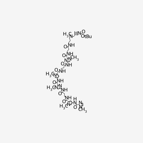 CN(CCCNC(=O)CCNC(=O)c1nc(NC(=O)CCNC(=O)c2cc(NC(=O)c3nc(NC(=O)CCNC(=O)c4cc(NC(=O)c5nccn5C)cn4C)cn3C)cn2C)cn1C)CCCNC(=O)OC(C)(C)C